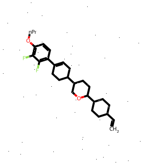 C=CC1CCC(C2CCC(C3CC=C(c4ccc(OCCC)c(F)c4F)CC3)CO2)CC1